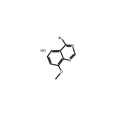 COc1cccc2c(Br)ncnc12.Cl